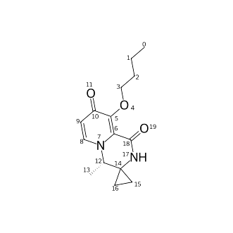 CCCCOc1c2n(ccc1=O)[C@@H](C)C1(CC1)NC2=O